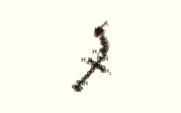 CC(C)CCCC[C@H]1CC[C@H]2[C@@H]3CC=C4CCCC[C@]4(C)[C@H]3CC[C@]12CC(C)CCCCC1CCC2C3CC=C4C[C@@H](OC(=O)SC(C)(N)CCOC(C)(C)CCNC(=O)CCOCC(COCCC(N)=O)(COCCC(N)=O)NC(=O)CCOCCOCCOCCOCCNC(=O)CCN5C(=O)CC(C)C5=O)CC[C@]4(C)C3CC[C@]12C